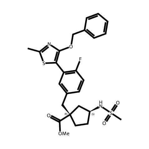 COC(=O)[C@@]1(Cc2ccc(F)c(-c3sc(C)nc3OCc3ccccc3)c2)CC[C@H](NS(C)(=O)=O)C1